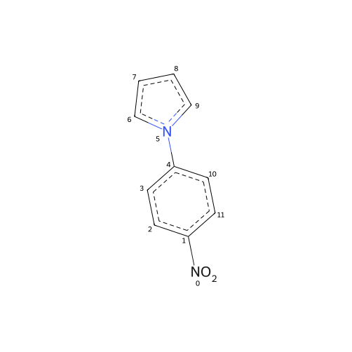 O=[N+]([O-])c1ccc(-n2cccc2)cc1